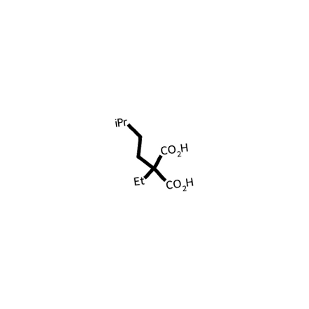 CCC(CCC(C)C)(C(=O)O)C(=O)O